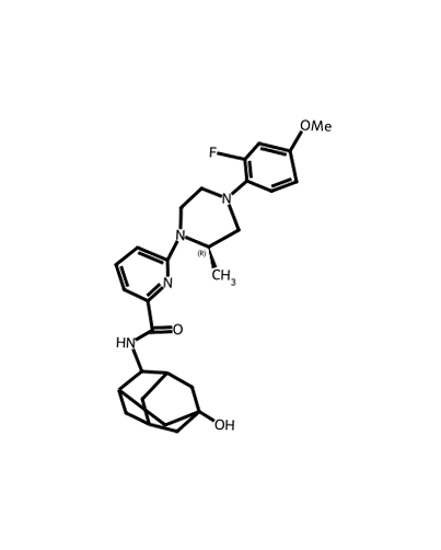 COc1ccc(N2CCN(c3cccc(C(=O)NC4C5CC6CC4CC(O)(C6)C5)n3)[C@H](C)C2)c(F)c1